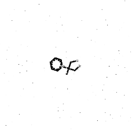 CC(CCl)(CBr)[n+]1ccccc1